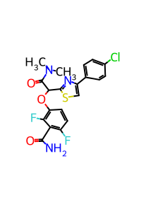 CN(C)C(=O)C(Oc1ccc(F)c(C(N)=O)c1F)c1nc(-c2ccc(Cl)cc2)cs1